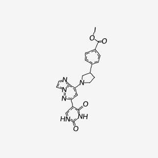 O=C(OI)c1ccc(C2CCN(c3cc(-c4c[nH]c(=O)[nH]c4=O)nn4ccnc34)C2)cc1